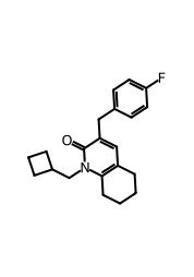 O=c1c(Cc2ccc(F)cc2)cc2c(n1CC1CCC1)CCCC2